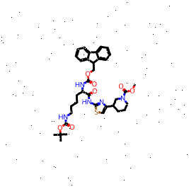 COC(=O)N1CCCC(c2csc(NC(=O)C(CCCCNC(=O)OC(C)(C)C)NC(=O)OCC3c4ccccc4-c4ccccc43)n2)C1